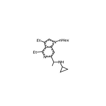 CCCCCCn1cc(CC)c2c(CC)nc(C(C)NC3CC3)cc21